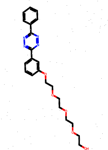 OCCOCCOCCOCCOc1cccc(-c2nnc(-c3ccccc3)nn2)c1